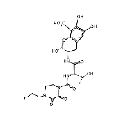 C[C@@H](O)[C@@H](NC(=O)N1CCN(CCF)C(=O)C1=O)C(=O)N[C@H]1Cc2cc(O)c(O)c(C(=O)O)c2OB1O